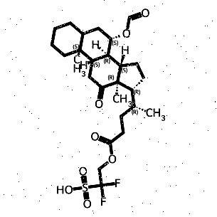 C[C@H](CCC(=O)OCC(F)(F)S(=O)(=O)O)[C@H]1CC[C@H]2[C@@H]3[C@@H](OC=O)CC4CCCC[C@]4(C)[C@H]3CC(=O)[C@]12C